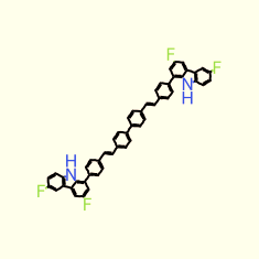 Fc1ccc2[nH]c3c(-c4ccc(C=Cc5ccc(-c6ccc(C=Cc7ccc(-c8cc(F)cc9c8[nH]c8ccc(F)cc89)cc7)cc6)cc5)cc4)cc(F)cc3c2c1